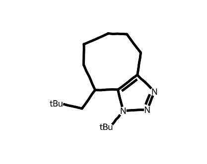 CC(C)(C)CC1CCCCCc2nnn(C(C)(C)C)c21